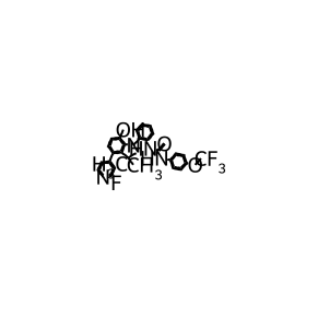 CC1(C)CN(c2ccccc2NC(=O)Nc2ccc(OC(F)(F)F)cc2)c2c(O)ccc(-c3ccnc(F)c3)c21